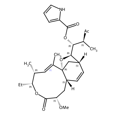 CC[C@H]1OC(=O)[C@@H](OC)C[C@H]2C=C[C@@H]3C[C@]2(O[C@H]3[C@H](OC(=O)c2ccc[nH]2)[C@H](C)C(C)=O)/C(C)=C/[C@H]1C